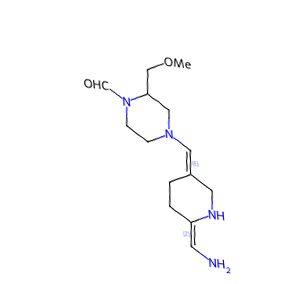 COCC1CN(/C=C2\CC/C(=C/N)NC2)CCN1C=O